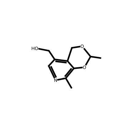 Cc1ncc(CO)c2c1OC(C)OC2